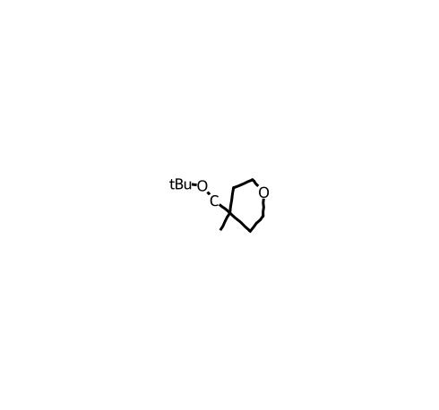 CC1(COC(C)(C)C)CCOCC1